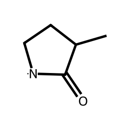 CC1CC[N]C1=O